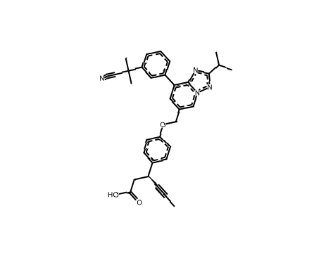 CC#C[C@@H](CC(=O)O)c1ccc(OCc2cc(-c3cccc(C(C)(C)C#N)c3)c3nc(C(C)C)nn3c2)cc1